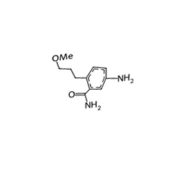 COCCCc1ccc(N)cc1C(N)=O